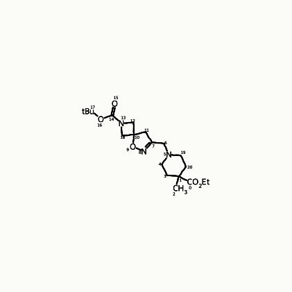 CCOC(=O)C1(C)CCN(CC2=NOC3(C2)CN(C(=O)OC(C)(C)C)C3)CC1